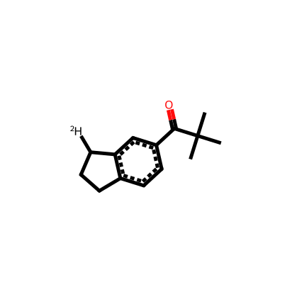 [2H]C1CCc2ccc(C(=O)C(C)(C)C)cc21